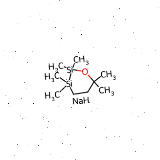 CC1(C)CC[Si](C)(C)[Si](C)(C)O1.[NaH]